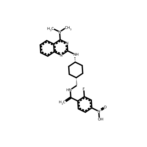 C=C(NC[C@H]1CC[C@@H](Nc2nc(N(C)C)c3ccccc3n2)CC1)c1ccc([N+](=O)O)cc1F